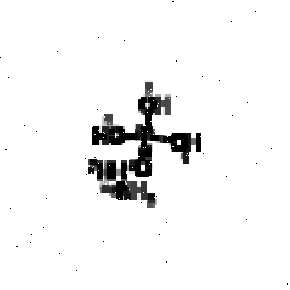 N.O=P(O)(O)O.[2HH]